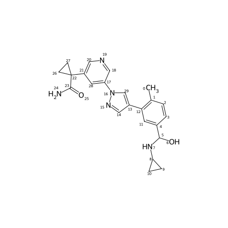 Cc1ccc(C(O)NC2CC2)cc1-c1cnn(-c2cncc(C3(C(N)=O)CC3)c2)c1